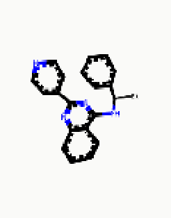 CC[C@@H](Nc1nc(-c2ccncc2)nc2ccccc12)c1ccccc1